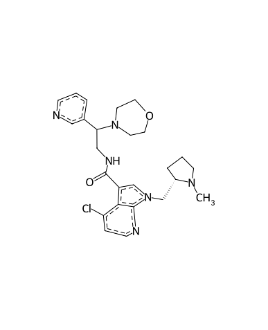 CN1CCC[C@H]1Cn1cc(C(=O)NCC(c2cccnc2)N2CCOCC2)c2c(Cl)ccnc21